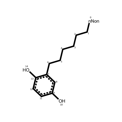 CCCCCCCCCCCCCCCc1cc(O)ccc1O